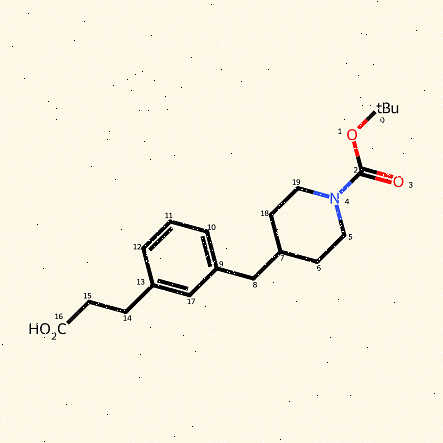 CC(C)(C)OC(=O)N1CCC(Cc2cccc(CCC(=O)O)c2)CC1